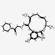 C/C1=C\C(=NOCC(=O)N2CCCCC2)Cc2cc(O)cc(O)c2C(=O)O[C@H](C)C/C=C/CC1